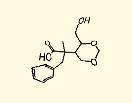 CC(Cc1ccccc1)(C(=O)O)C1COCOC1CO